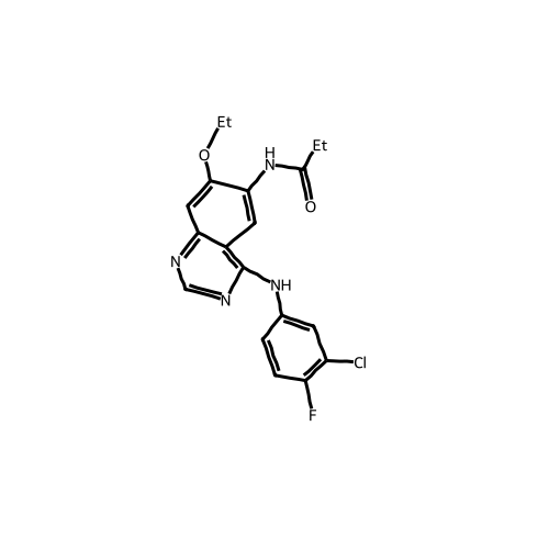 CCOc1cc2ncnc(Nc3ccc(F)c(Cl)c3)c2cc1NC(=O)CC